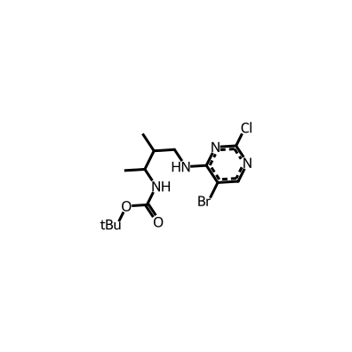 CC(CNc1nc(Cl)ncc1Br)C(C)NC(=O)OC(C)(C)C